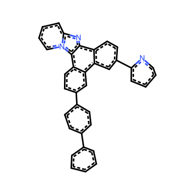 c1ccc(-c2ccc(-c3ccc4c(c3)c3cc(-c5ccccn5)ccc3c3nc5ccccn5c43)cc2)cc1